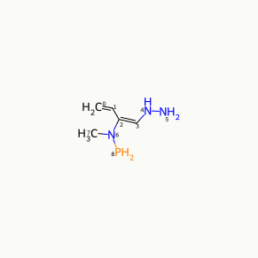 C=C/C(=C\NN)N(C)P